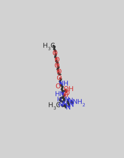 CCCCOCCOCCOCCOCCOCCNC(=O)CCC(NC(=O)c1ccc(N(C)Cc2cnc3nc(N)nc(N)c3n2)cc1)C(=O)O